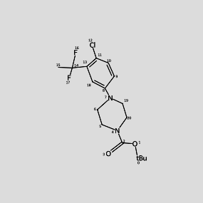 CC(C)(C)OC(=O)N1CCN(c2ccc(Cl)c(C(C)(F)F)c2)CC1